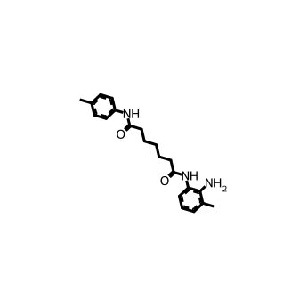 Cc1ccc(NC(=O)CCCCCC(=O)Nc2cccc(C)c2N)cc1